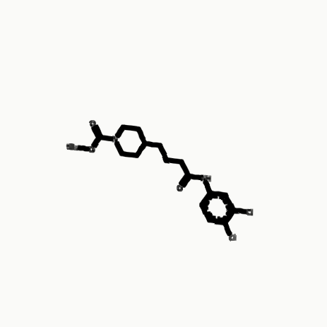 CC(C)(C)OC(=O)N1CCC(CCCC(=O)Nc2ccc(Cl)c(Cl)c2)CC1